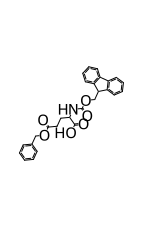 O=C(CCC(NC(=O)OCC1c2ccccc2-c2ccccc21)C(=O)O)OCc1ccccc1